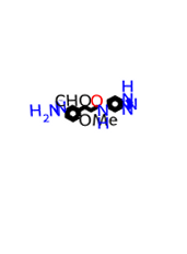 COc1ccc(N(N)C=O)cc1CCC(=O)Nc1ccc2[nH]nnc2c1